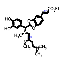 C=N/C(=C\N(C)C(c1ccc(O)c(O)c1)C1Oc2ccc(/C=C/C(=O)OCC)cc2O1)CCN(C)C